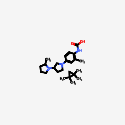 CC1(C)CC1(C)C.Cc1cc(N2CCC(N3CCCC3C)C2)ccc1NC(=O)O